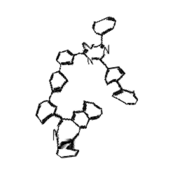 c1ccc(-c2ccc(-c3nc(-c4ccccc4)nc(-c4cccc(-c5ccc(-c6cccc(-c7nc8ccccc8c8cc9ccccc9cc78)c6)cc5)c4)n3)cc2)cc1